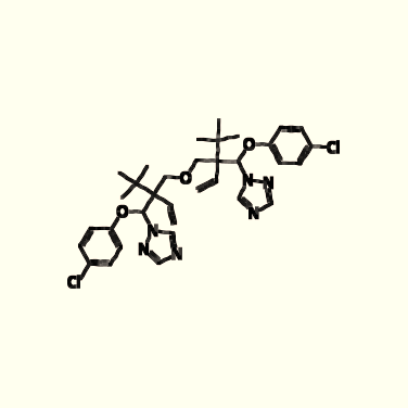 C=CC(COCC(C=C)(C(Oc1ccc(Cl)cc1)n1cncn1)C(C)(C)C)(C(Oc1ccc(Cl)cc1)n1cncn1)C(C)(C)C